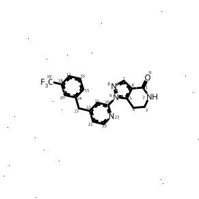 O=C1NCCc2c1cnn2-c1cc(Cc2cccc(C(F)(F)F)c2)ccn1